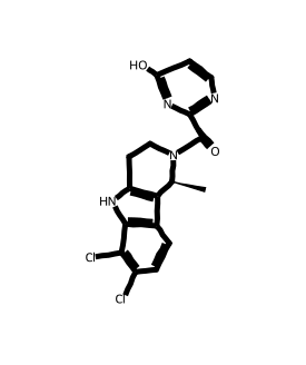 C[C@H]1c2c([nH]c3c(Cl)c(Cl)ccc23)CCN1C(=O)c1nccc(O)n1